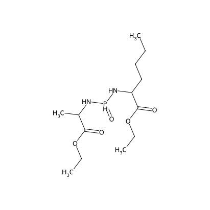 CCCCC(N[PH](=O)NC(C)C(=O)OCC)C(=O)OCC